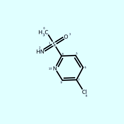 CS(=N)(=O)c1ccc(Cl)cn1